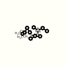 CC1(C)CC(C)(C)c2cc(-c3ccccc3-c3ccc(-n4c5ccccc5c5cc6c7ccccc7n(-c7nc(-c8ccccc8)nc(-c8cccc(-c9ccccc9)c8)n7)c6cc54)cc3)ccc21